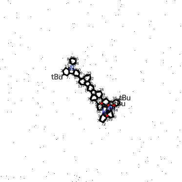 CC(C)(C)C1CCC2(C)C(C1)c1cc(-c3ccc4c5cc6c(cc5c5cccc3c54)c3ccc(-c4ccc5c(c4)C4CC(C(C)(C)C)CCC4(C)N5c4ccccc4)c4c(-c5ccc7c(c5)C5CC(C(C)(C)C)CCC5(C)N7c5ccccc5)ccc6c43)ccc1N2c1ccccc1